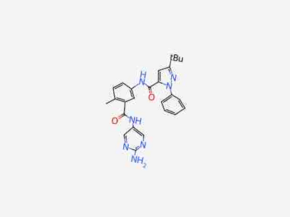 Cc1ccc(NC(=O)c2cc(C(C)(C)C)nn2-c2ccccc2)cc1C(=O)Nc1cnc(N)nc1